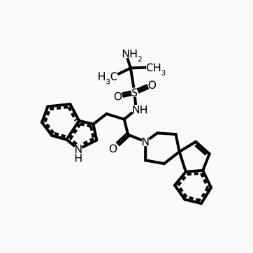 CC(C)(N)S(=O)(=O)NC(Cc1c[nH]c2ccccc12)C(=O)N1CCC2(C=Cc3ccccc32)CC1